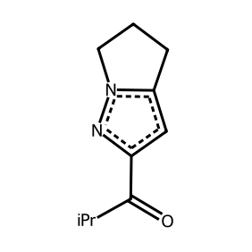 CC(C)C(=O)c1cc2n(n1)CCC2